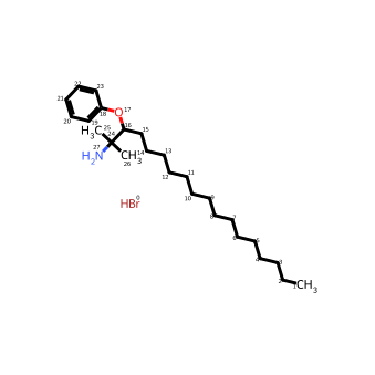 Br.CCCCCCCCCCCCCCCC(Oc1ccccc1)C(C)(C)N